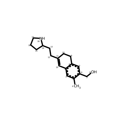 Cc1cc2c(cc1CO)CCC(CCC1CCCN1)=C2